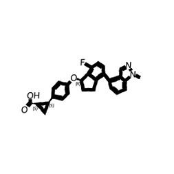 Cn1ncc2c(-c3ccc(F)c4c3CC[C@H]4Oc3ccc([C@H]4C[C@@H]4C(=O)O)cc3)cccc21